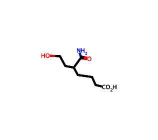 NC(=O)C(CCO)CCCC(=O)O